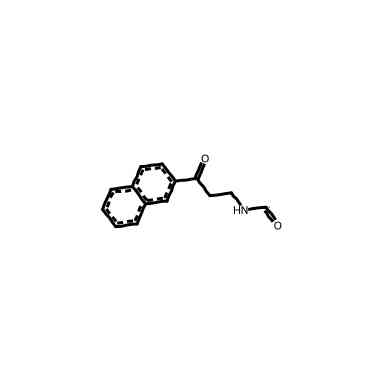 O=[C]NCCC(=O)c1ccc2ccccc2c1